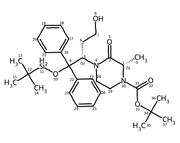 C[C@H]1C(=O)N([C@@H](CCO)C(O[SiH2]C(C)(C)C)(c2ccccc2)c2ccccc2)CCN1C(=O)OC(C)(C)C